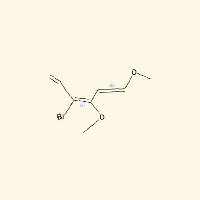 C=C/C(Br)=C(\C=C\OC)OC